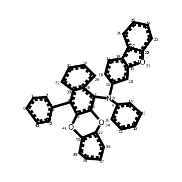 c1ccc(-c2c3c(c(N(c4ccccc4)c4ccc5c(c4)oc4ccccc45)c4ccccc24)Oc2ccccc2O3)cc1